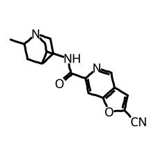 CC1CC2CCN1CC2NC(=O)c1cc2oc(C#N)cc2cn1